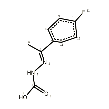 CC(=NNC(=O)O)c1ccc(F)cc1